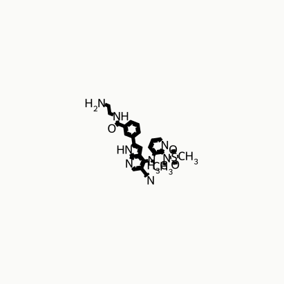 CN(c1cccnc1N(C)S(C)(=O)=O)c1c(C#N)cnc2[nH]c(-c3cccc(C(=O)NCCN)c3)cc12